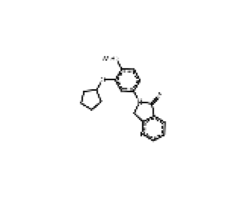 COc1ccc(N2Cc3ncccc3C2=S)cc1OC1CCCC1